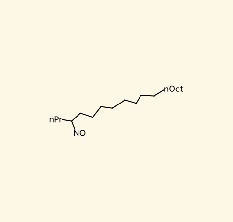 CCCCCCCCCCCCCCCCC(CCC)N=O